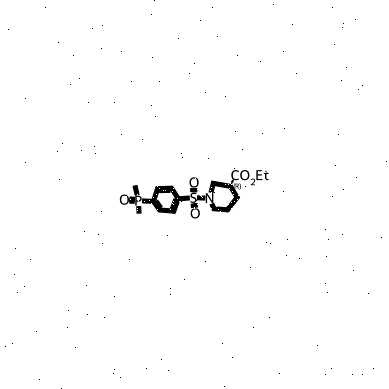 CCOC(=O)[C@@H]1CCCN(S(=O)(=O)c2ccc(P(C)(C)=O)cc2)C1